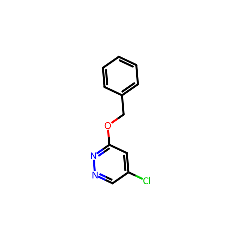 Clc1cnnc(OCc2ccccc2)c1